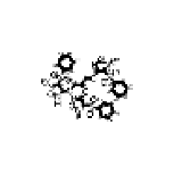 C[n+]1onc(OC(COc2no[n+]([O-])c2S(=O)(=O)c2ccccc2)COC2NON([O-])C2S(=O)(=O)c2ccccc2)c1S(=O)(=O)c1ccccc1